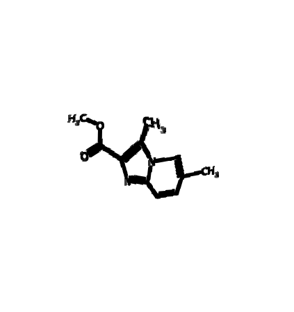 COC(=O)c1nc2ccc(C)cn2c1C